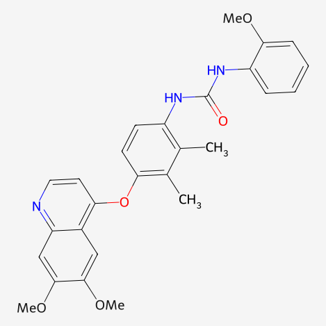 COc1ccccc1NC(=O)Nc1ccc(Oc2ccnc3cc(OC)c(OC)cc23)c(C)c1C